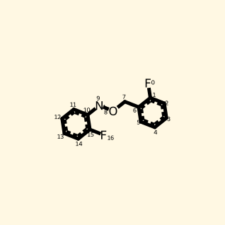 Fc1ccccc1CO[N]c1ccccc1F